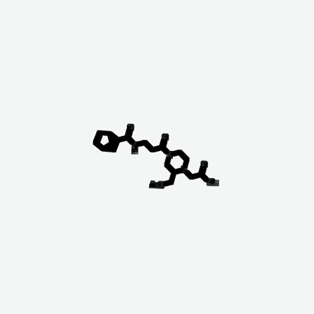 CC(=O)OCC1CN(C(=O)CCNC(=O)C2CC3C=CC2C3)CCN1CC(=O)C(C)(C)C